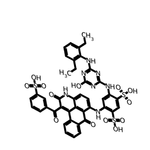 CCc1cccc(CC)c1Nc1nc(O)nc(Nc2cc(Nc3ccc4[nH]c(=O)c(C(=O)c5cccc(S(=O)(=O)O)c5)c5c4c3C(=O)c3ccccc3-5)c(S(=O)(=O)O)cc2S(=O)(=O)O)n1